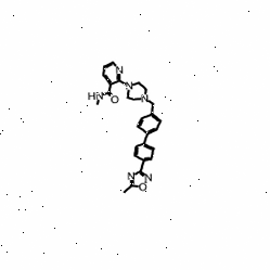 CNC(=O)c1cccnc1N1CCN(Cc2ccc(-c3ccc(-c4noc(C)n4)cc3)cc2)CC1